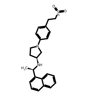 C[C@@H](N[C@H]1CCN(c2ccc(CC[SH](=O)=O)cc2)C1)c1cccc2ccccc12